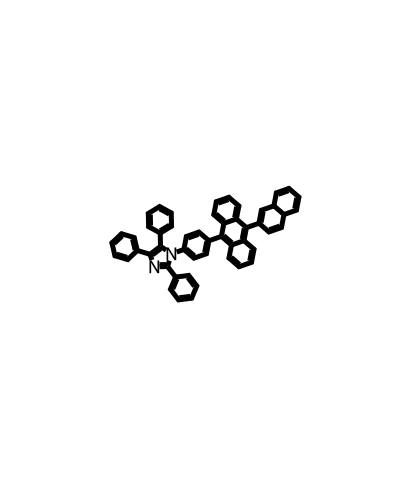 C1=CC2C=CC(c3c4ccccc4c(-c4ccc(-n5c(-c6ccccc6)nc(-c6ccccc6)c5-c5ccccc5)cc4)c4ccccc34)=CC2C=C1